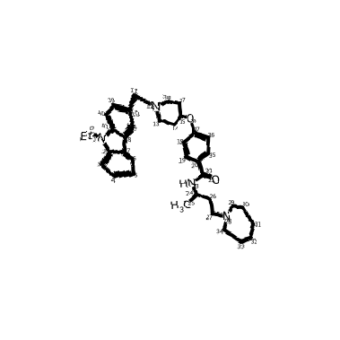 CCn1c2ccccc2c2cc(CN3CCC(Oc4ccc(C(=O)NC(C)CCN5CCCCCC5)cc4)CC3)ccc21